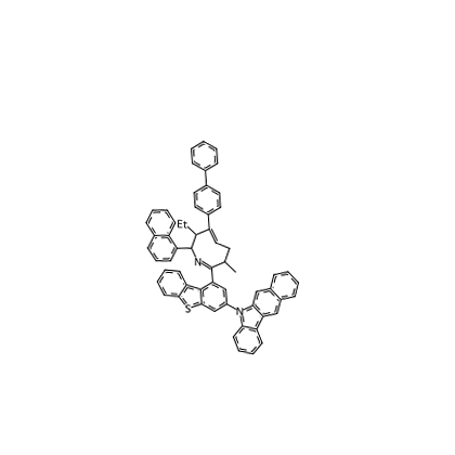 CCC1/C(c2ccc(-c3ccccc3)cc2)=C/CC(C)/C(c2cc(-n3c4ccccc4c4cc5ccccc5cc43)cc3sc4ccccc4c23)=N\C1c1cccc2ccccc12